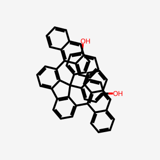 Oc1ccc(C2(c3ccc(O)cc3)c3c(cccc3-c3c4ccccc4cc4ccccc34)-c3cccc(-c4c5ccccc5cc5ccccc45)c32)cc1